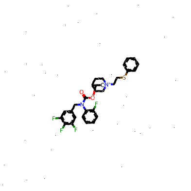 O=C(OC1C[N+]2(CCSc3ccccc3)CCC1CC2)N(Cc1cc(F)c(F)c(F)c1)c1ccccc1F